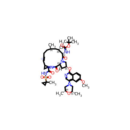 COc1ccc2c(O[C@@H]3C[C@H]4C(=O)NC5(C(=O)NS(=O)(=O)C6(C)CC6)CC5/C=C\CC[C@@H](C)C[C@@H](C)[C@H](NC(=O)OC(C)(C)C)C(=O)N4C3)ncc(N3C[C@@H](C)O[C@@H](C)C3)c2c1